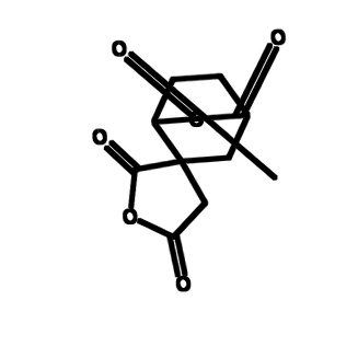 O=C1CC2(CC3CCC2C(=O)OC3=O)C(=O)O1